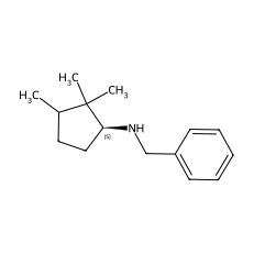 CC1CC[C@H](NCc2ccccc2)C1(C)C